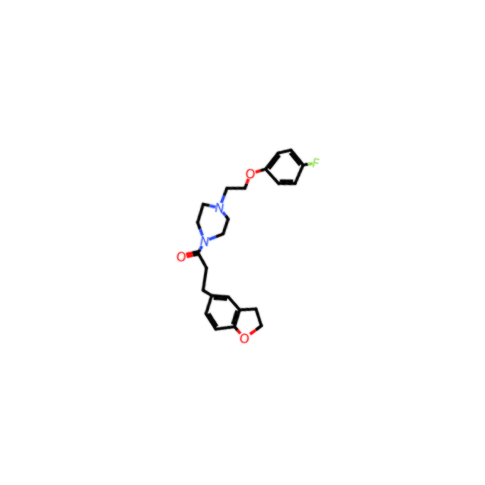 O=C(CCc1ccc2c(c1)CCO2)N1CCN(CCOc2ccc(F)cc2)CC1